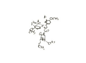 CCCCNC(=O)N(CCCC)C(=O)CN1CC(c2ccc(OC)c(F)c2)C(C(=O)O)C1c1ccc(OC)c(F)c1